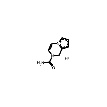 NC(=O)N1C=Cn2cccc2C1.[H+]